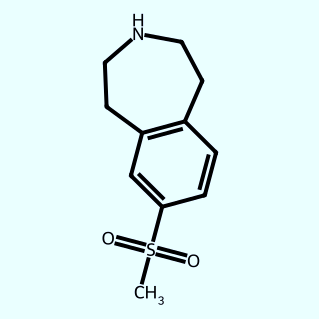 CS(=O)(=O)c1ccc2c(c1)CCNCC2